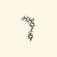 CC(=O)N1CCN(C(=O)N2CCN(CCCOc3ccc(F)cc3)CC2)CC1